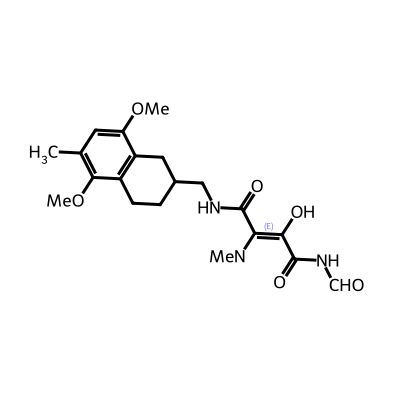 CN/C(C(=O)NCC1CCc2c(c(OC)cc(C)c2OC)C1)=C(/O)C(=O)NC=O